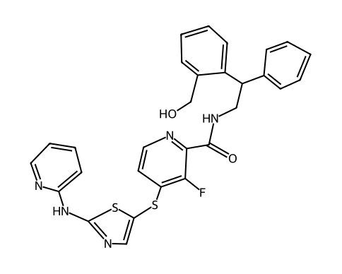 O=C(NCC(c1ccccc1)c1ccccc1CO)c1nccc(Sc2cnc(Nc3ccccn3)s2)c1F